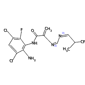 C=C(/N=C\N=C/C(C)C(F)(F)F)C(=O)Nc1c(N)c(Cl)cc(Cl)c1F